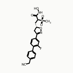 CS(=O)(=O)C(C[C@H]1CC(c2ccc(-c3ccc(CC#N)cc3)c(F)c2)=NO1)C(=O)NO